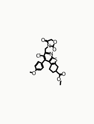 CCOC(=O)C1CCc2c(sc3nc(CN4C(=O)COC4=O)c(Cl)c(-c4ccc(OC)cc4)c23)C1